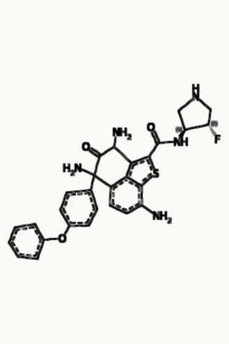 Nc1ccc2c3c(c(C(=O)N[C@H]4CNC[C@@H]4F)sc13)C(N)C(=O)C2(N)c1ccc(Oc2ccccc2)cc1